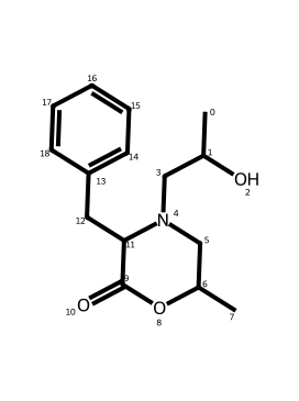 CC(O)CN1CC(C)OC(=O)C1Cc1ccccc1